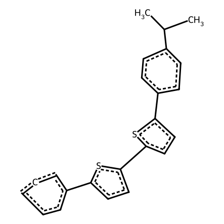 CC(C)c1ccc(-c2ccc(-c3ccc(-c4ccccc4)s3)s2)cc1